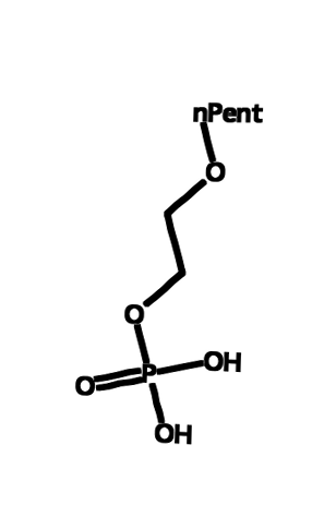 CCCCCOCCOP(=O)(O)O